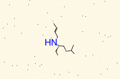 C/C=C/CN[C@H](CC)CCC(C)C